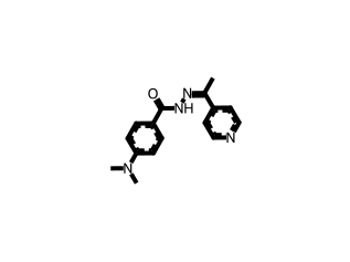 CC(=NNC(=O)c1ccc(N(C)C)cc1)c1ccncc1